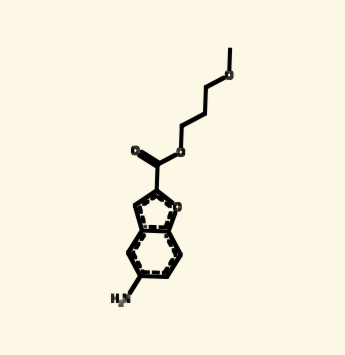 COCCCOC(=O)c1cc2cc(N)ccc2o1